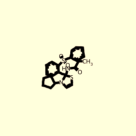 CCC(=O)NC1(c2ccccc2S(=O)(=O)c2ccccc2)SC=CN1C1CCCC1